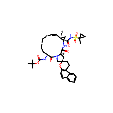 CC(C)(C)OC(=O)N[C@H]1CCCCC/C=C\[C@@H]2C[C@@]2(C(=O)NS(=O)(=O)C2(C)CC2)NC(=O)[C@@H]2C[C@]3(CCc4c(ccc5ccccc45)O3)CN2C1=O